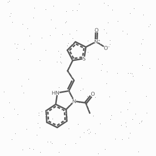 CC(=O)N1/C(=C/Cc2ccc([N+](=O)[O-])s2)Nc2ccccc21